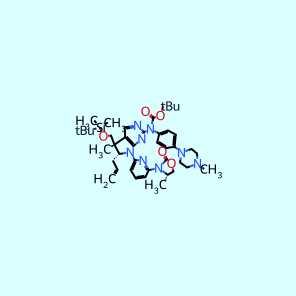 C=CC[C@H]1N(c2cccc(N3C(=O)OC[C@@H]3C)n2)c2nc(N(C(=O)OC(C)(C)C)c3ccc(N4CCN(C)CC4)cc3)ncc2[C@@]1(C)CO[Si](C)(C)C(C)(C)C